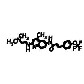 Cc1cc(NCCN(C)C)nc2ccc(NC(=O)/C=C/c3ccc(OC(F)(F)F)cc3)cc12